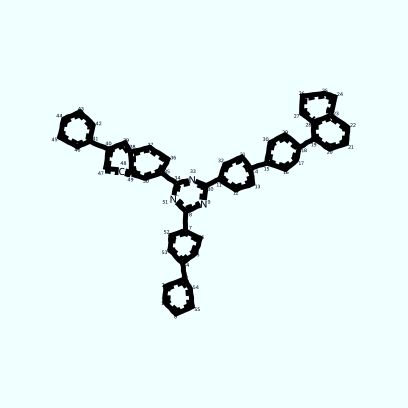 c1ccc(-c2ccc(-c3nc(-c4ccc(-c5ccc(-c6cccc7ccccc67)cc5)cc4)nc(-c4ccc5cc(-c6ccccc6)ccc5c4)n3)cc2)cc1